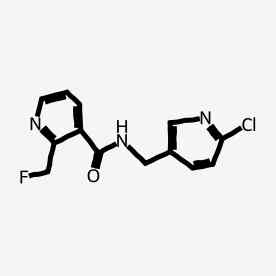 O=C(NCc1ccc(Cl)nc1)c1cccnc1CF